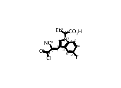 CCC(C(=O)O)n1cc(/C=C(\C#N)C(=O)Cl)c2cc(F)ccc21